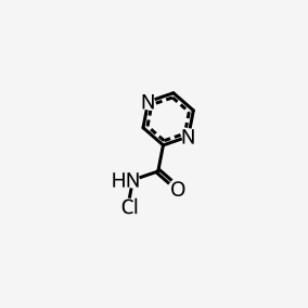 O=C(NCl)c1cnccn1